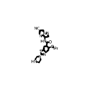 CC(C)Oc1cc2nc(N3CCNCC3)sc2cc1C(=O)Nc1cnn2cc(C#N)cnc12